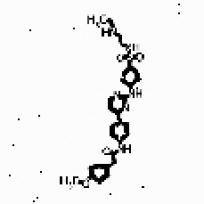 CCNCCNS(=O)(=O)c1ccc(Nc2nccc(-c3ccc(NC(=O)Cc4ccc(OC)cc4)cc3)n2)cc1